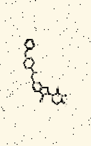 O=C1CCC(N2Cc3cc(CNC4CCC(Cc5ccccc5)CC4)ccc3C2=O)C(=O)N1